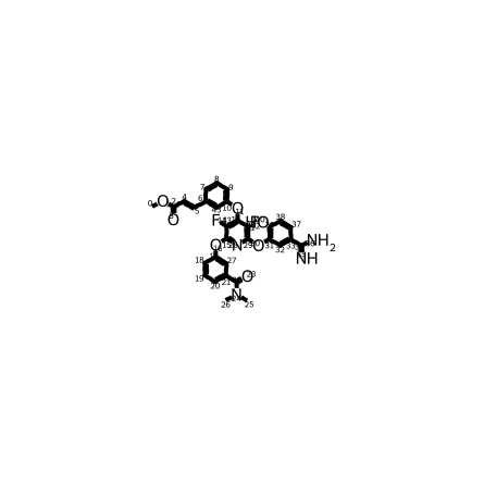 COC(=O)C=Cc1cccc(Oc2c(F)c(Oc3cccc(C(=O)N(C)C)c3)nc(Oc3cc(C(=N)N)ccc3O)c2F)c1